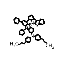 CCCCc1ccc(N(c2ccc(CCCC)cc2)c2ccc3c(c2)N(c2ccccc2)c2cc(-c4ccccc4)cc4c2B3n2c3sc5ccccc5c3c3cccc-4c32)cc1